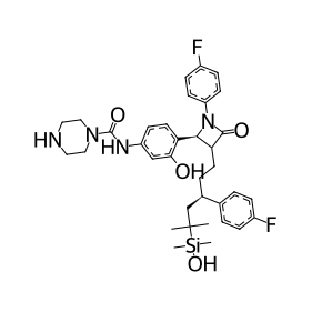 CC(C)(C[C@@H](CCC1C(=O)N(c2ccc(F)cc2)[C@@H]1c1ccc(NC(=O)N2CCNCC2)cc1O)c1ccc(F)cc1)[Si](C)(C)O